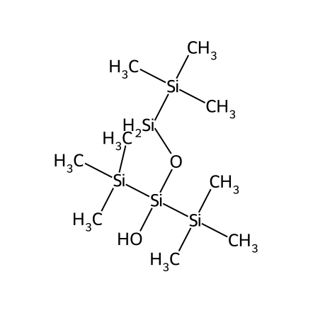 C[Si](C)(C)[SiH2]O[Si](O)([Si](C)(C)C)[Si](C)(C)C